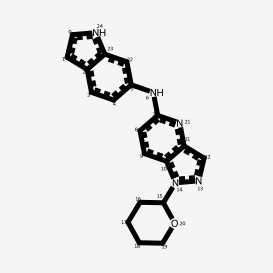 c1cc2ccc(Nc3ccc4c(cnn4C4CCCCO4)n3)cc2[nH]1